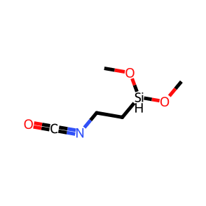 CO[SiH](CCN=C=O)OC